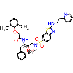 Cc1cccc(C)c1OCC(=O)N[C@@H](Cc1ccccc1)[C@H](O)CN(CC(C)C)S(=O)(=O)c1ccc2nc(NCCc3ccccn3)sc2c1